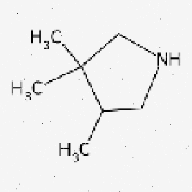 CC1CNCC1(C)C